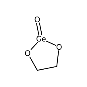 [O]=[Ge]1[O]CC[O]1